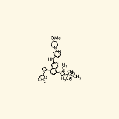 C=CC(=O)N1CC[C@@H]1c1ccc(N2C[C@H](C(C)(C)S(C)(=O)=O)[C@H]2C)c2cnc(Nc3ccnc(N4CCC(OC)CC4)n3)cc12